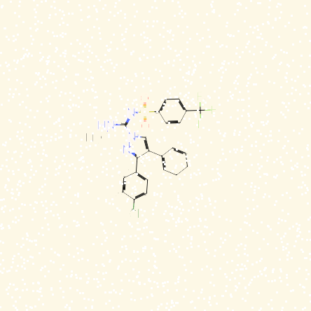 CNC(=NS(=O)(=O)c1ccc(C(F)(F)F)cc1)n1cc(C2=CCCC=C2)c(-c2ccc(Cl)cc2)n1